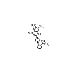 C=C(C)c1ccccc1N1CCN(C(=O)Nc2cc(C)c(C)nc2OC)CC1